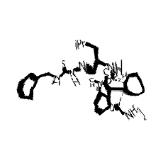 CC(C)CC(C=NNC(=S)NCc1ccccc1)NC(=O)[C@@H]1CCCC[C@@]1(C(N)=O)c1c(C(=O)O)n(C)c2ccccc12